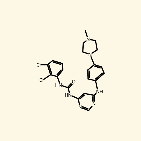 CN1CCN(c2ccc(Nc3cc(NC(=O)Nc4cccc(Cl)c4Cl)ncn3)cc2)CC1